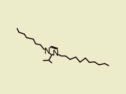 CCCCCCCCCCCN1C=CN(CCCCCCCC)C1C(C)C